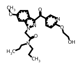 CCCN(CCC)C(=O)Cn1nc(C(=O)c2ccc(OCCO)nc2)c2ccc(OC)cc21